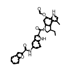 CCC1CN(C(=O)c2cc3cc(NC(=O)c4cc5ccccc5o4)ccc3[nH]2)c2cc(OC=O)c3[nH]cc(C)c3c21